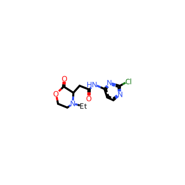 CCN1CCOC(=O)C1CC(=O)Nc1ccnc(Cl)n1